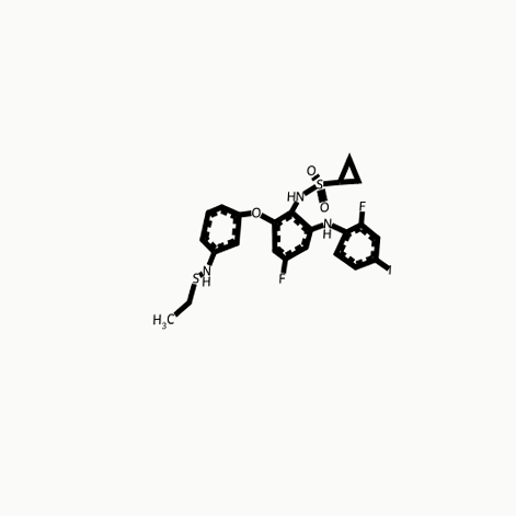 CCSNc1cccc(Oc2cc(F)cc(Nc3ccc(I)cc3F)c2NS(=O)(=O)C2CC2)c1